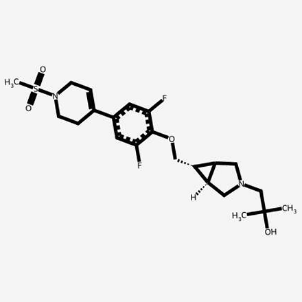 CC(C)(O)CN1CC2[C@@H](COc3c(F)cc(C4=CCN(S(C)(=O)=O)CC4)cc3F)[C@@H]2C1